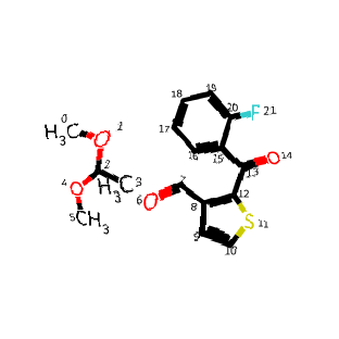 COC(C)OC.O=Cc1ccsc1C(=O)c1ccccc1F